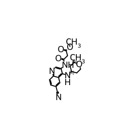 COC(=O)CC(=O)Nc1cnc2ccc(C#N)cc2c1N[C@@H]1CCO[C@H](C)C1